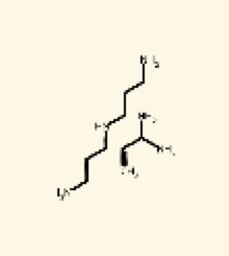 C=CC(N)N.NCCCNCCCN